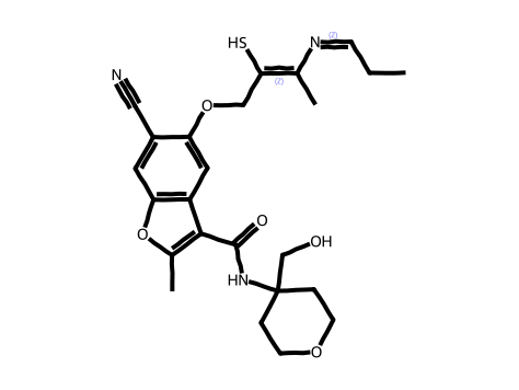 CC/C=N\C(C)=C(/S)COc1cc2c(C(=O)NC3(CO)CCOCC3)c(C)oc2cc1C#N